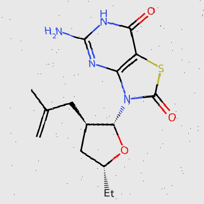 C=C(C)C[C@@H]1C[C@@H](CC)O[C@H]1n1c(=O)sc2c(=O)[nH]c(N)nc21